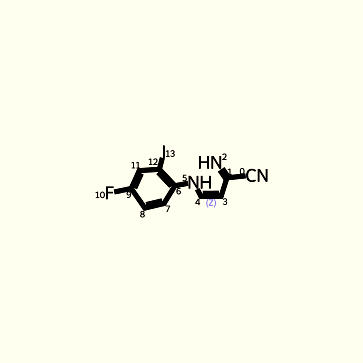 N#CC(=N)/C=C\Nc1ccc(F)cc1I